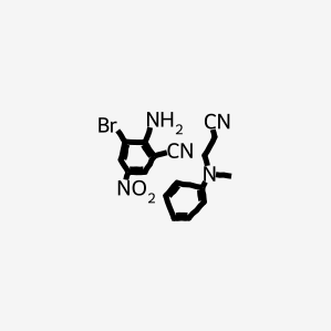 CN(CCC#N)c1ccccc1.N#Cc1cc([N+](=O)[O-])cc(Br)c1N